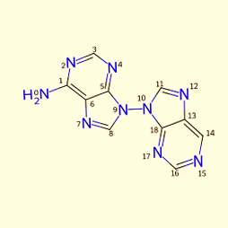 Nc1ncnc2c1ncn2-n1cnc2cncnc21